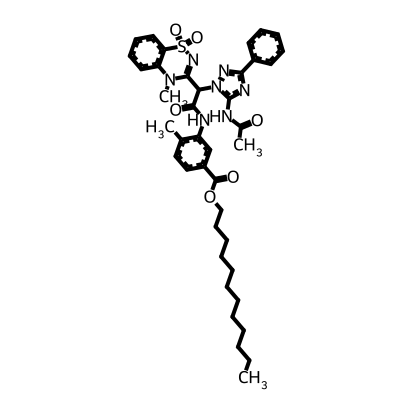 CCCCCCCCCCCCOC(=O)c1ccc(C)c(NC(=O)C(C2=NS(=O)(=O)c3ccccc3N2C)n2nc(-c3ccccc3)nc2NC(C)=O)c1